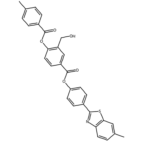 Cc1ccc(C(=O)Oc2ccc(C(=O)Oc3ccc(-c4nc5ccc(C)cc5s4)cc3)cc2CO)cc1